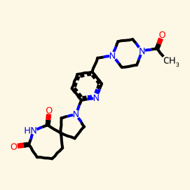 CC(=O)N1CCN(Cc2ccc(N3CCC4(CCCC(=O)NC4=O)C3)nc2)CC1